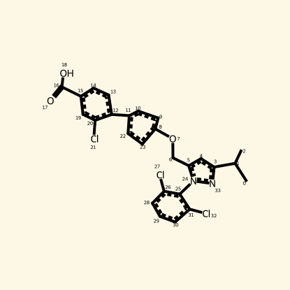 CC(C)c1cc(COc2ccc(-c3ccc(C(=O)O)cc3Cl)cc2)n(-c2c(Cl)cccc2Cl)n1